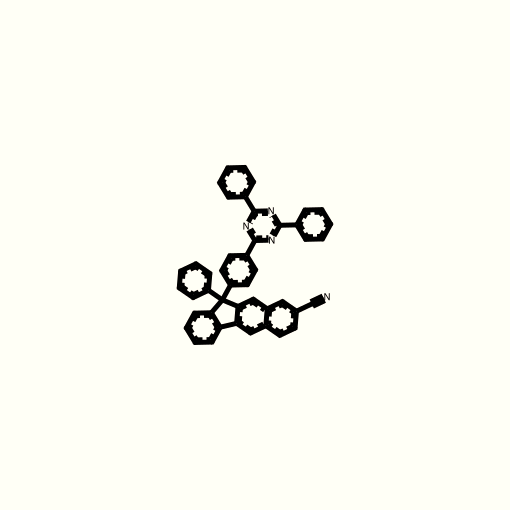 N#Cc1ccc2cc3c(cc2c1)C(c1ccccc1)(c1ccc(-c2nc(-c4ccccc4)nc(-c4ccccc4)n2)cc1)c1ccccc1-3